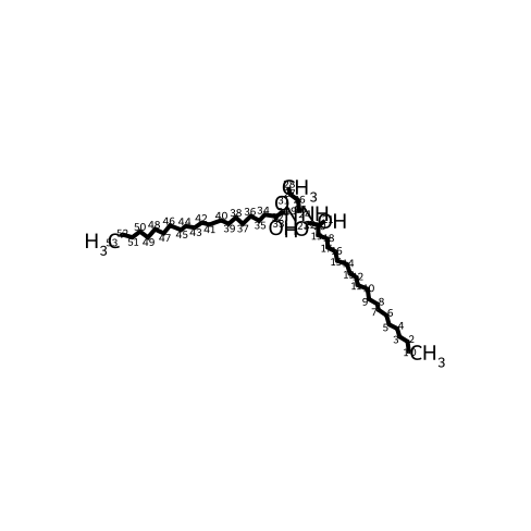 CCCCCCCCCCCCCCCCCCCCC(O)C(=O)NC(CCC)NC(=O)C(O)CCCCCCCCCCCCCCCCCCCC